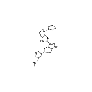 CN(C)Cc1cncc(-c2ccc3[nH]nc(-c4nc5c(-c6ccoc6)nccc5[nH]4)c3c2)c1